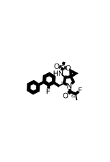 C[C@H](F)C(=O)N1CC2(CC2)[C@H](NS(C)(=O)=O)[C@@H]1Cc1cccc(-c2ccccc2)c1F